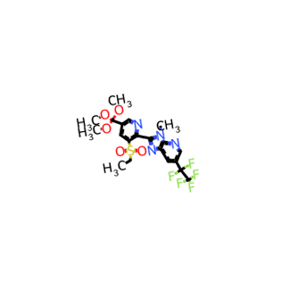 CCS(=O)(=O)c1cc(C(OC)(OC)OC)cnc1-c1nc2cc(C(F)(F)C(F)(F)F)cnc2n1C